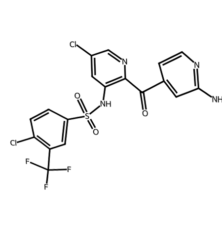 Nc1cc(C(=O)c2ncc(Cl)cc2NS(=O)(=O)c2ccc(Cl)c(C(F)(F)F)c2)ccn1